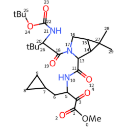 COC(=O)C(=O)C(CC1CC1)NC(=O)C1C2C(CN1C(=O)C(NC(=O)OC(C)(C)C)C(C)(C)C)C2(C)C